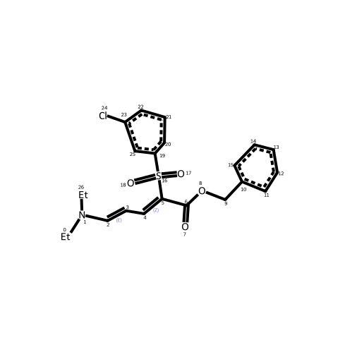 CCN(/C=C/C=C(/C(=O)OCc1ccccc1)S(=O)(=O)c1cccc(Cl)c1)CC